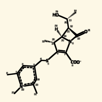 Cc1cc(CSC2=C(C(=O)[O-])N3C(=O)[C@H]([C@@H](C)O)[C@@H]3[C@H]2C)cc(C)[n+]1C